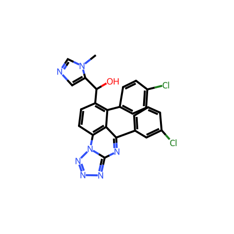 Cn1cncc1C(O)c1ccc2c(c(-c3cccc(Cl)c3)nc3nnnn32)c1-c1ccc(Cl)cc1